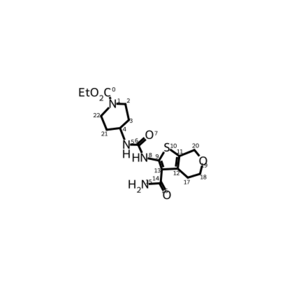 CCOC(=O)N1CCC(NC(=O)Nc2sc3c(c2C(N)=O)CCOC3)CC1